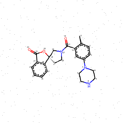 Cc1ccc(N2CCNCC2)cc1C(=O)N1CC[C@@]2(C1)OC(=O)c1ccccc12